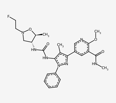 CNC(=O)c1cc(-c2nn(-c3ccccc3)c(NC(=O)N[C@@H]3CN(CCF)O[C@H]3C)c2C)cnc1OC